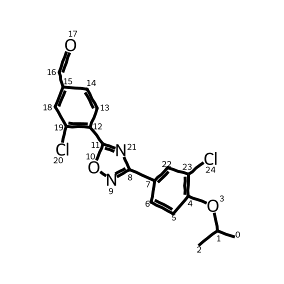 CC(C)Oc1ccc(-c2noc(-c3ccc(C=O)cc3Cl)n2)cc1Cl